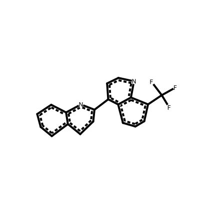 FC(F)(F)c1cccc2c(-c3ccc4ccccc4n3)ccnc12